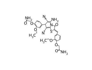 CCOc1cc(/C=c2\sc3n(c2=O)C(N)=C(C#N)C(c2ccc(OCC(N)=O)c(OCC)c2)C=3C#N)ccc1OCC(N)=O